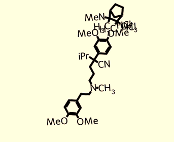 CNC1(C)C2CCC(C2)C1(C)C.COc1ccc(CCN(C)CCCC(C#N)(c2ccc(OC)c(OC)c2)C(C)C)cc1OC.Cl.Cl